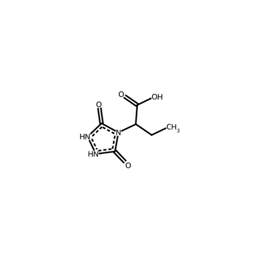 CCC(C(=O)O)n1c(=O)[nH][nH]c1=O